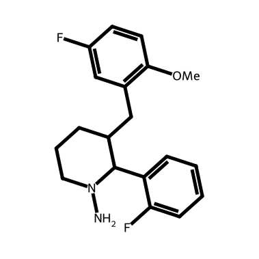 COc1ccc(F)cc1CC1CCCN(N)C1c1ccccc1F